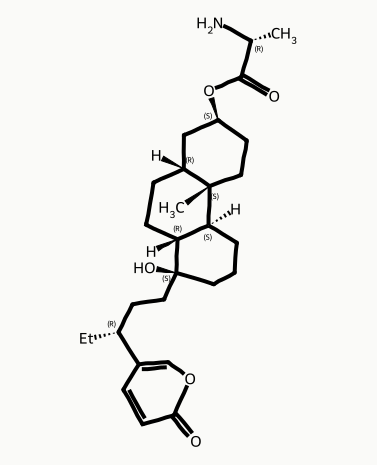 CC[C@H](CC[C@@]1(O)CCC[C@H]2[C@H]1CC[C@@H]1C[C@@H](OC(=O)[C@@H](C)N)CC[C@@]12C)c1ccc(=O)oc1